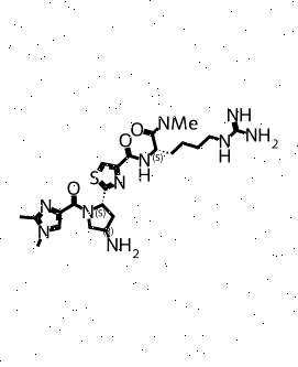 CNC(=O)[C@H](CCCCNC(=N)N)NC(=O)c1csc([C@@H]2C[C@@H](N)CN2C(=O)c2cn(C)c(C)n2)n1